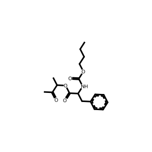 CCCCOC(=O)NC(Cc1ccccc1)C(=O)OC(C)C(C)=O